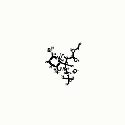 CCOC(=O)[C@H](F)[C@](C)(N[S@+]([O-])C(C)(C)C)c1nc(Br)ccc1F